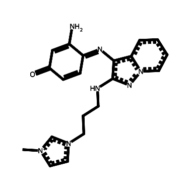 C[n+]1ccn(CCCNc2nn3ccccc3c2/N=C2\C=CC(=O)C=C2N)c1